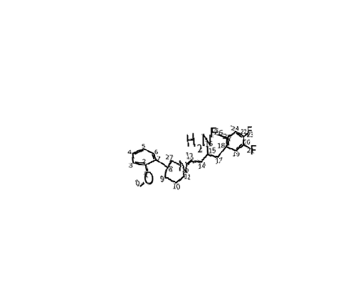 COc1ccccc1C1CCCN(CCC(N)Cc2cc(F)c(F)cc2F)C1